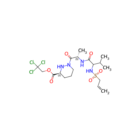 C=CCS(=O)(=O)NC(C(=O)N[C@@H](C)C(=O)N1CCC[C@@H](C(=O)OCC(Cl)(Cl)Cl)N1)C(C)C